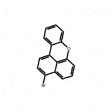 Brc1ccc2c3c(cccc13)Oc1ccccc1-2